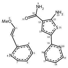 COC=Cc1ccccn1.NC(=O)c1cc(-c2ccccn2)sc1N